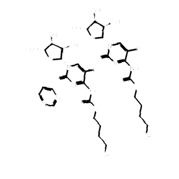 CCCCCOC(=O)Nc1nc(=O)n([C@@H]2O[C@H](C)[C@@H](O)[C@H]2O)cc1F.CCCCCOC(=O)Nc1nc(=O)n([C@@H]2O[C@H](C)[C@@H](O)[C@H]2O)cc1F.c1cncnc1